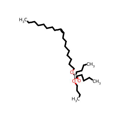 CCCCCCCC/C=C\CCCCCCCC[O][Ti](=[O])([CH2]CCC)([CH2]CCC)[O]CCCC